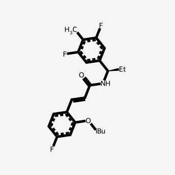 CCC(C)Oc1cc(F)ccc1/C=C/C(=O)N[C@H](CC)c1cc(F)c(C)c(F)c1